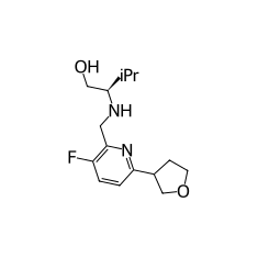 CC(C)[C@H](CO)NCc1nc(C2CCOC2)ccc1F